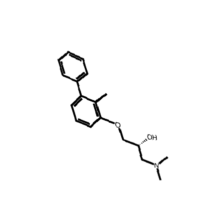 Cc1c(OC[C@H](O)CN(C)C)cccc1-c1ccccc1